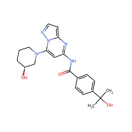 CC(C)(O)c1ccc(C(=O)Nc2cc(N3CCC[C@H](O)C3)n3nccc3n2)cc1